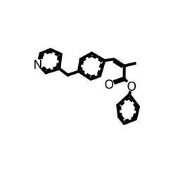 CC(=Cc1ccc(Cc2cccnc2)cc1)C(=O)Oc1ccccc1